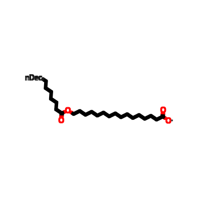 CCCCCCCCCCCCCCCCC(=O)OCCCCCCCCCCCCCCCC([O])=O